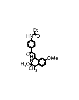 CCC(=O)Nc1ccc(C(=O)C=C2NC(C)(C)Cc3ccc(OC)cc32)cc1